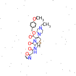 CCN1CCN(C2=C(C(=O)OCc3ccc(OC)cc3)N3C(=O)C(NC(=O)Cc4ncco4)[C@H]3SC2)CC1